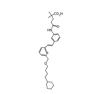 CC(C)(CCC(=O)Nc1cccc(C=Cc2cccc(COCCCCC3CCCCC3)n2)c1)C(=O)O